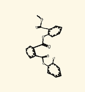 COC(=O)c1ccccc1OC(=O)c1ccccc1C(=O)Oc1ccccc1Cl